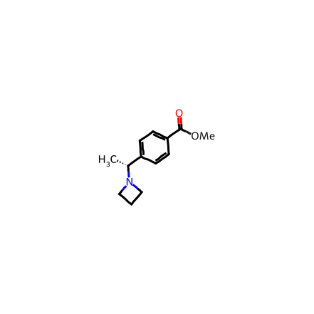 COC(=O)c1ccc([C@@H](C)N2CCC2)cc1